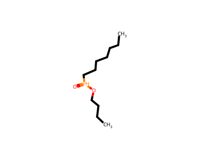 CCCCCCC[PH](=O)OCCCC